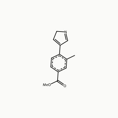 COC(=O)c1ccc(C2=CCN=C2)c(C)c1